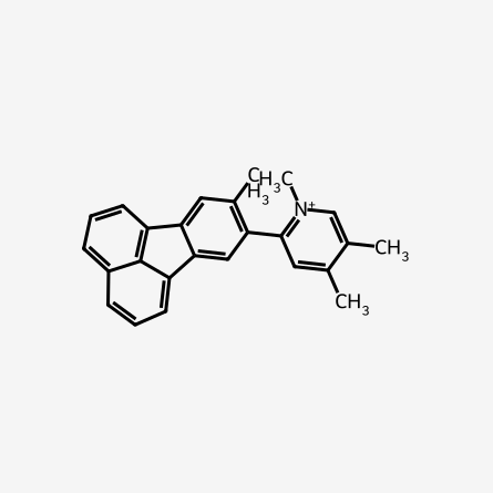 Cc1cc(-c2cc3c(cc2C)-c2cccc4cccc-3c24)[n+](C)cc1C